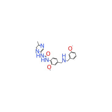 COc1cccc(CNCc2ccc(NC(=O)Nc3cnc(C)cn3)c(OC)c2)c1